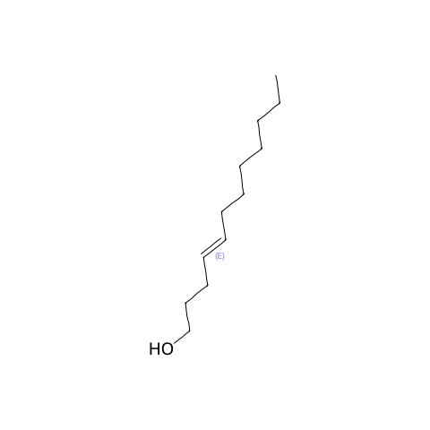 CCCCCCC/C=C/CCCO